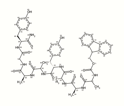 CC(NC(=O)OCC1c2ccccc2-c2ccccc21)C(=O)N[C@@H](C)C(=O)NC(C)C(=O)N[C@@H](Cc1ccc(O)cc1)C(=O)NC(C)C(=O)N[C@@H](C)C(=O)NCC(=O)N[C@@H](Cc1ccc(O)cc1)C(N)=O